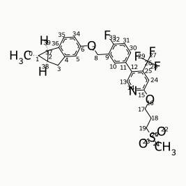 C[C@H]1[C@@H]2Cc3cc(OCc4cc(-c5cnc(OCCCS(C)(=O)=O)cc5C(F)(F)F)ccc4F)ccc3[C@H]12